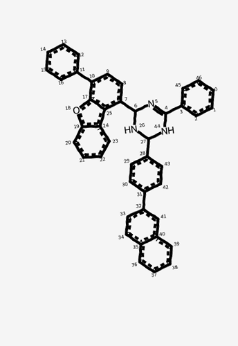 c1ccc(C2=NC(c3ccc(-c4ccccc4)c4oc5ccccc5c34)NC(c3ccc(-c4ccc5ccccc5c4)cc3)N2)cc1